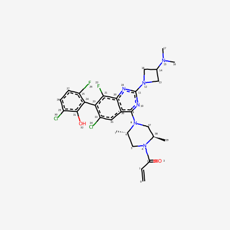 C=CC(=O)N1C[C@H](C)N(c2nc(N3CC(N(C)C)C3)nc3c(F)c(-c4c(F)ccc(Cl)c4O)c(Cl)cc23)C[C@H]1C